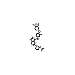 Cc1cc(Nc2ncnc3cnc(N4CCC[C@@H](OC(F)F)C4)nc23)ccc1Oc1ccc2c(c1)ncn2C